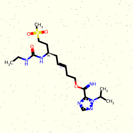 CCNC(=O)N[C@H](C/C=C/CCOC(=N)c1ncnn1C(C)C)CCS(C)(=O)=O